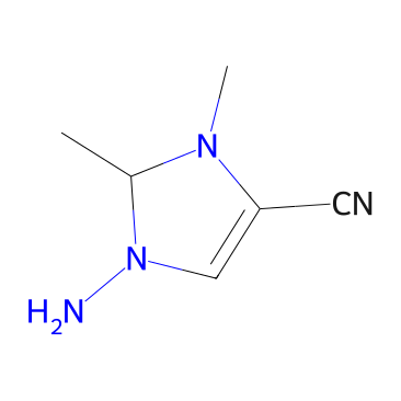 CC1N(N)C=C(C#N)N1C